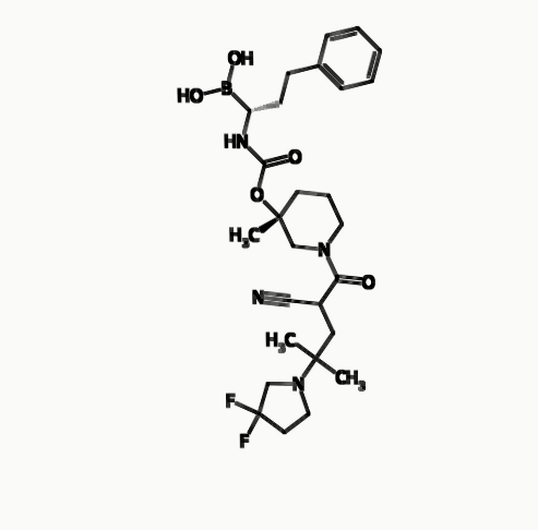 CC(C)(CC(C#N)C(=O)N1CCC[C@@](C)(OC(=O)N[C@@H](CCc2ccccc2)B(O)O)C1)N1CCC(F)(F)C1